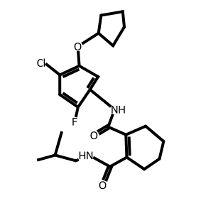 CC(C)CNC(=O)C1=C(C(=O)Nc2cc(OC3CCCC3)c(Cl)cc2F)CCCC1